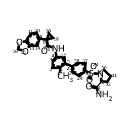 Cc1ccc(NC(=O)C2(c3ccc4c(c3)OCO4)CC2)cc1-c1ccc(S(=O)(=O)N2CCC[C@H]2C(N)=O)cc1